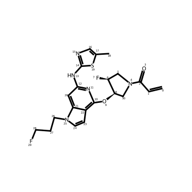 C=CC(=O)N1C[C@H](F)[C@H](Oc2nc(Nc3ncc(C)s3)cc3c2ccn3CCCF)C1